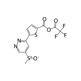 C[S+]([O-])c1cnnc(-c2ccc(C(=O)OC(=O)C(F)(F)F)s2)c1